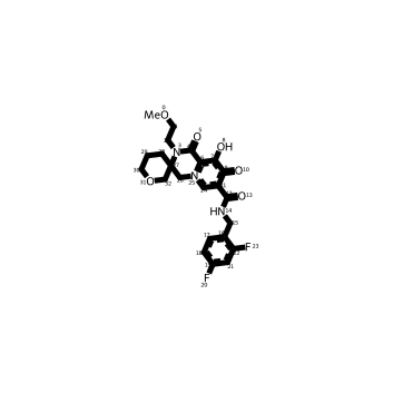 COCCN1C(=O)c2c(O)c(=O)c(C(=O)NCc3ccc(F)cc3F)cn2CC12CCCOC2